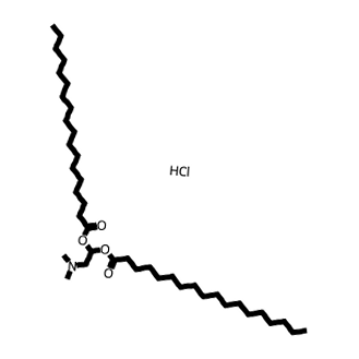 CCCCCCCCCCCCCCCCCC(=O)OC(CN(C)C)OC(=O)CCCCCCCCCCCCCCCCC.Cl